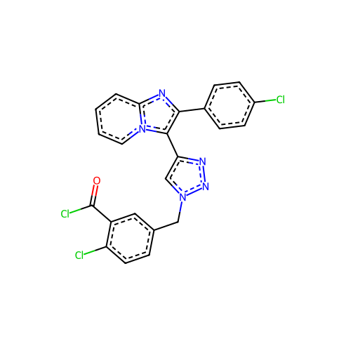 O=C(Cl)c1cc(Cn2cc(-c3c(-c4ccc(Cl)cc4)nc4ccccn34)nn2)ccc1Cl